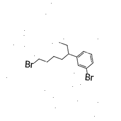 CCC(CCCCBr)c1cccc(Br)c1